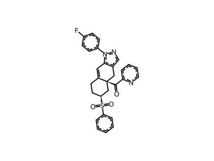 O=C(c1ccccn1)[C@]12Cc3cnn(-c4ccc(F)cc4)c3C=C1CC[C@H](S(=O)(=O)c1ccccc1)C2